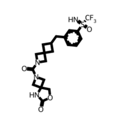 N=S(=O)(c1cccc(CC2CC3(C2)CN(C(=O)N2CC4(COC(=O)N4)C2)C3)c1)C(F)(F)F